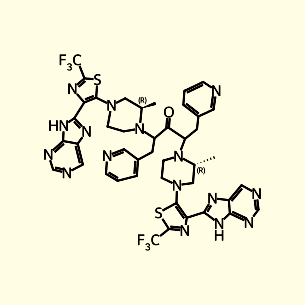 C[C@@H]1CN(c2sc(C(F)(F)F)nc2-c2nc3cncnc3[nH]2)CCN1C(Cc1cccnc1)C(=O)C(Cc1cccnc1)N1CCN(c2sc(C(F)(F)F)nc2-c2nc3cncnc3[nH]2)C[C@H]1C